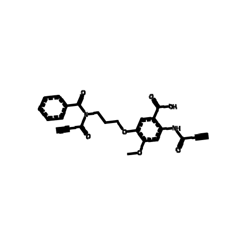 C#CC(=O)Nc1cc(OC)c(OCCCN(C(=O)C#C)C(=O)c2ccccc2)cc1C(=O)O